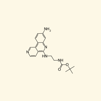 CC(C)(C)OC(=O)NCCNc1nc2cc(N)ccc2c2cnccc12